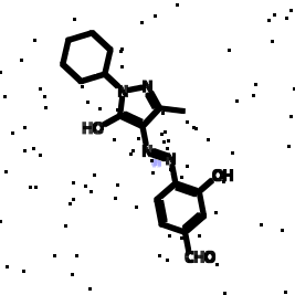 Cc1nn(C2CCCCC2)c(O)c1/N=N/c1ccc(C=O)cc1O